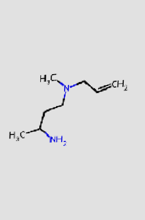 C=CCN(C)CCC(C)N